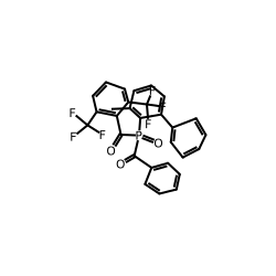 Cc1cccc(-c2ccccc2)c1P(=O)(C(=O)c1ccccc1)C(=O)c1c(C(F)(F)F)cccc1C(F)(F)F